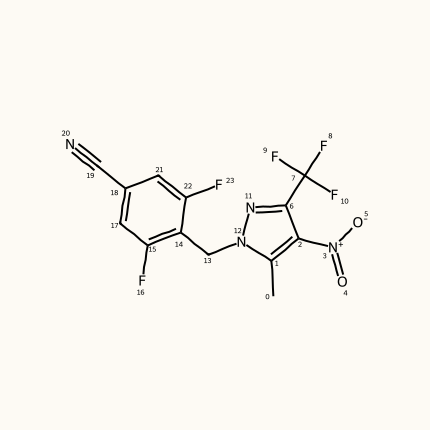 Cc1c([N+](=O)[O-])c(C(F)(F)F)nn1Cc1c(F)cc(C#N)cc1F